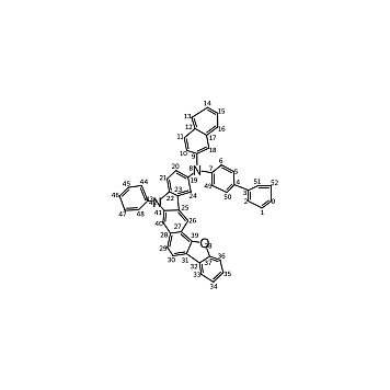 c1ccc(-c2ccc(N(c3ccc4ccccc4c3)c3ccc4c(c3)c3cc5c(ccc6c7ccccc7oc56)cc3n4-c3ccccc3)cc2)cc1